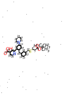 CC(C)(C)OC(=O)CCSCc1cccc(Cc2ccc(N3CCCCC3)cc2-c2cc(C(=O)O)ccn2)c1